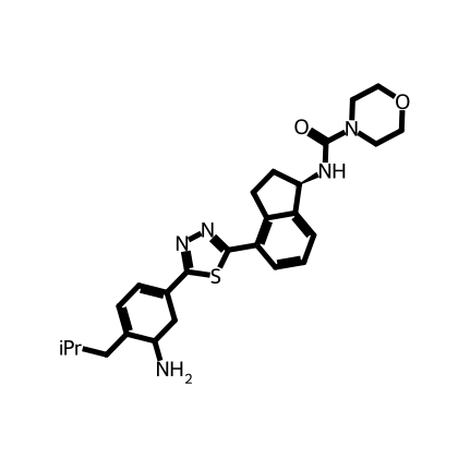 CC(C)CC1=CC=C(c2nnc(-c3cccc4c3CC[C@H]4NC(=O)N3CCOCC3)s2)CC1N